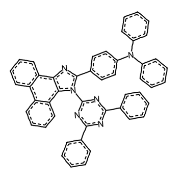 c1ccc(-c2nc(-c3ccccc3)nc(-n3c(-c4ccc(N(c5ccccc5)c5ccccc5)cc4)nc4c5ccccc5c5ccccc5c43)n2)cc1